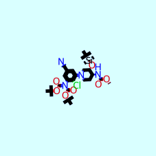 COC(=O)N[C@H]1CCN(c2cc(C#N)cc(N(C(=O)OC(C)(C)C)C(=O)OC(C)(C)C)c2Cl)C[C@@H]1O[Si](C)(C)C(C)(C)C